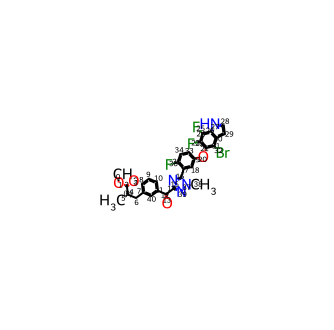 COC(=O)[C@H](C)Cc1cccc(C(=O)c2nc(-c3cc(Oc4c(F)c(F)c5[nH]ccc5c4Br)ccc3F)n(C)n2)c1